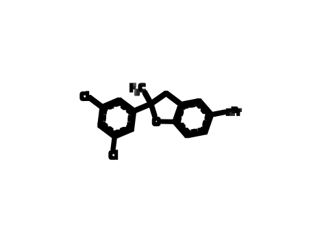 CCCc1ccc2c(c1)CC(c1cc(Cl)cc(Cl)c1)(C(F)(F)F)O2